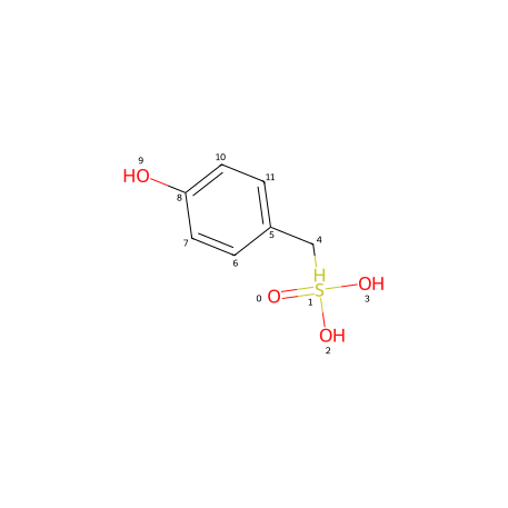 O=[SH](O)(O)Cc1ccc(O)cc1